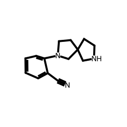 N#Cc1ccccc1N1CCC2(CCNC2)C1